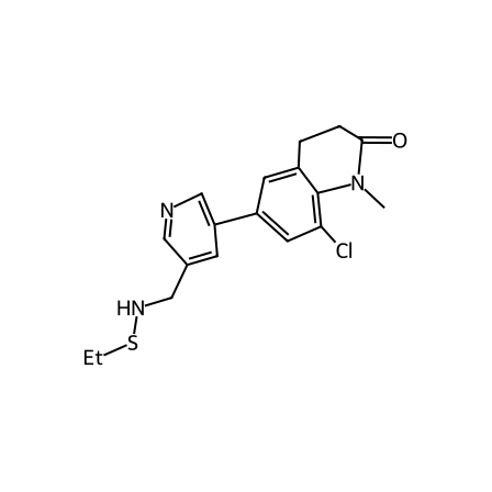 CCSNCc1cncc(-c2cc(Cl)c3c(c2)CCC(=O)N3C)c1